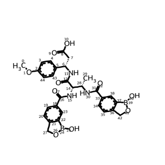 COc1ccc([C@H](CC(=O)O)NC(=O)[C@@H](NC(=O)c2ccc3c(c2)B(O)OC3)[C@H](C)NC(=O)c2ccc3c(c2)B(O)OC3)cc1